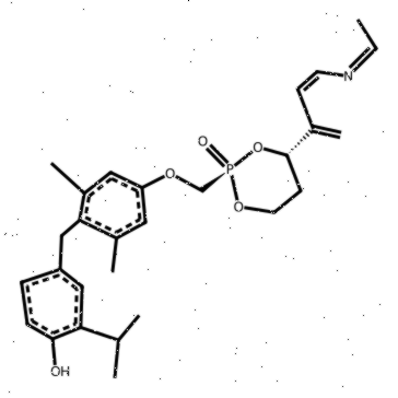 C=C(/C=C\N=C/C)[C@@H]1CCO[P@@](=O)(COc2cc(C)c(Cc3ccc(O)c(C(C)C)c3)c(C)c2)O1